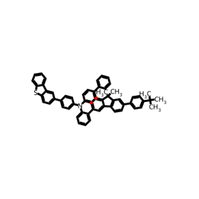 CC(C)(C)c1ccc(-c2ccc3c(c2)C(C)(C)c2ccc(-c4ccccc4N(c4ccc(-c5ccccc5)cc4)c4ccc(-c5ccc6sc7ccccc7c6c5)cc4)cc2-3)cc1